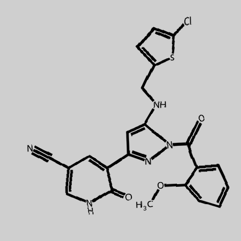 COc1ccccc1C(=O)n1nc(-c2cc(C#N)c[nH]c2=O)cc1NCc1ccc(Cl)s1